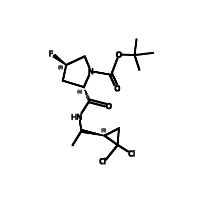 CC(NC(=O)[C@@H]1C[C@@H](F)CN1C(=O)OC(C)(C)C)[C@H]1CC1(Cl)Cl